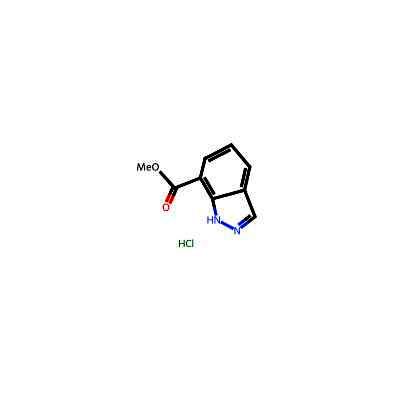 COC(=O)c1cccc2cn[nH]c12.Cl